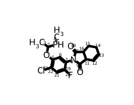 CPC(C)Oc1cc(N2C(=O)C3C=CCCC3C2=O)c(F)cc1Cl